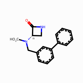 O=C1NC[C@@H]1N(Cc1cccc(-c2ccccc2)c1)C(=O)O